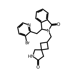 O=C1CC2(CN1)CC(CN1C(=O)c3ccccc3C1Cc1ncccc1Br)C2